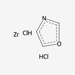 Cl.Cl.[Zr].c1cocn1